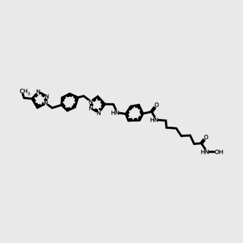 CCc1cn(Cc2ccc(Cn3cc(CNc4ccc(C(=O)NCCCCCCC(=O)NO)cc4)nn3)cc2)nn1